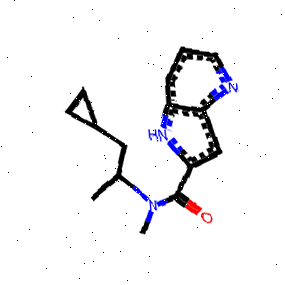 CC(CC1CC1)N(C)C(=O)c1cc2ncccc2[nH]1